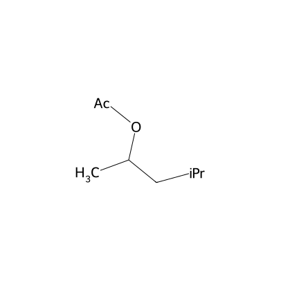 [CH2]C(C)CC(C)OC(C)=O